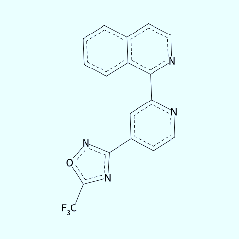 FC(F)(F)c1nc(-c2ccnc(-c3nccc4ccccc34)c2)no1